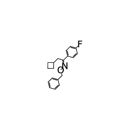 Fc1ccc(C(CC2CCC2)=NOCc2ccccc2)cc1